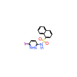 O=S(=O)(Nc1ccc(I)nn1)c1cccc2ccccc12